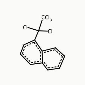 ClC(Cl)(Cl)C(Cl)(Cl)c1[c]ccc2ccccc12